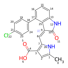 Cc1cc(C(=O)O)c(/C=C2\C(=O)Nc3cccc(-c4ccc(Cl)cc4)c32)[nH]1